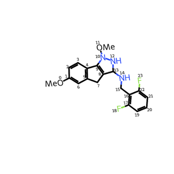 COc1ccc2c(c1)CC1=C2N(OC)NC1NCc1c(F)cccc1F